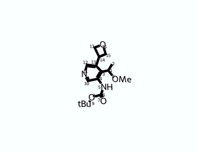 COC(C)c1c(NC(=O)OC(C)(C)C)cncc1C1COC1